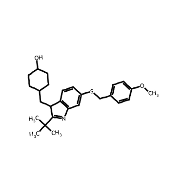 COc1ccc(CSc2ccc3c(c2)N=C(C(C)(C)C)C3CC2CCC(O)CC2)cc1